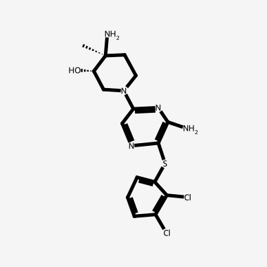 C[C@]1(N)CCN(c2cnc(Sc3cccc(Cl)c3Cl)c(N)n2)C[C@@H]1O